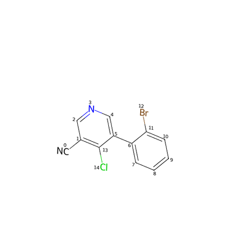 N#Cc1cncc(-c2ccccc2Br)c1Cl